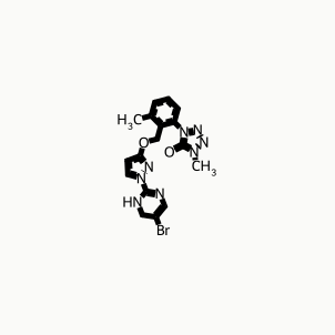 Cc1cccc(-n2nnn(C)c2=O)c1COc1ccn(C2=NC=C(Br)CN2)n1